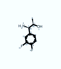 C[C@@H](O)[C@H](N)c1ccc(F)c(F)c1